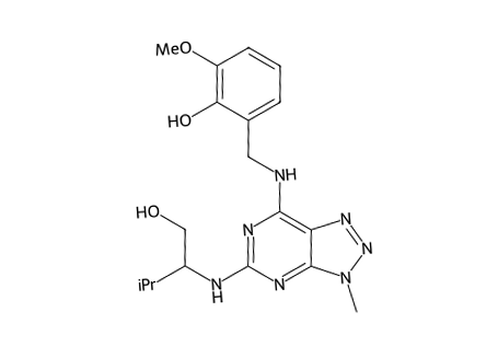 COc1cccc(CNc2nc(NC(CO)C(C)C)nc3c2nnn3C)c1O